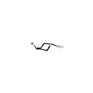 N#CC=C1CN(C(=O)O)C1